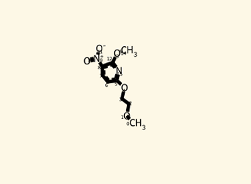 COCCOc1ccc([N+](=O)[O-])c(OC)n1